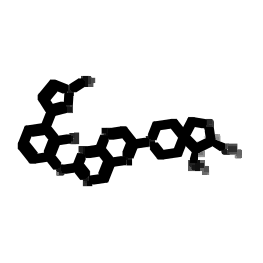 CC(C)n1ccc(-c2cccc(Sc3ncc4nc(N5CCC6(CC5)CO[C@@H](C)[C@H]6N)cnc4n3)c2Cl)n1